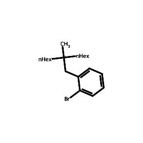 CCCCCCC(C)(CCCCCC)Cc1ccccc1Br